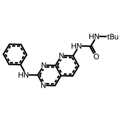 CC(C)(C)NC(=O)Nc1ccc2cnc(Nc3ccccc3)nc2n1